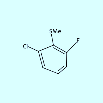 CSc1c(F)cccc1Cl